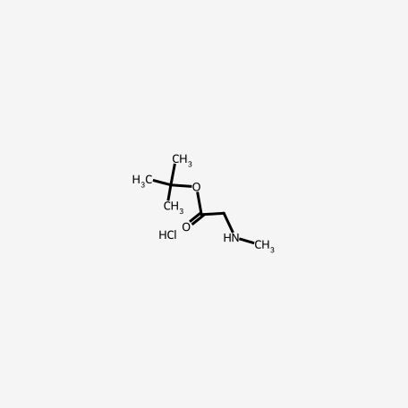 CNCC(=O)OC(C)(C)C.Cl